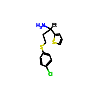 CCC(N)(CCSc1ccc(Cl)cc1)c1cccs1